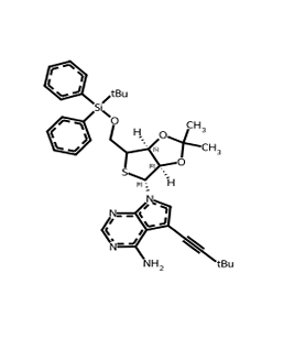 CC(C)(C)C#Cc1cn([C@@H]2SC(CO[Si](c3ccccc3)(c3ccccc3)C(C)(C)C)[C@H]3OC(C)(C)O[C@H]32)c2ncnc(N)c12